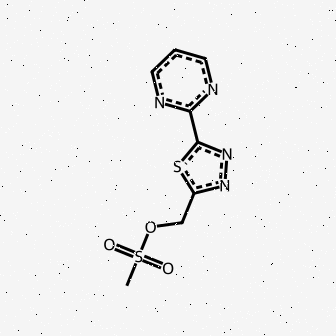 CS(=O)(=O)OCc1nnc(-c2ncccn2)s1